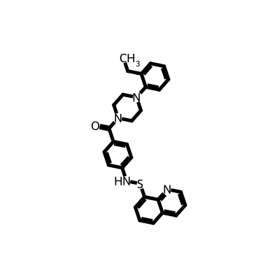 CCc1ccccc1N1CCN(C(=O)c2ccc(NSc3cccc4cccnc34)cc2)CC1